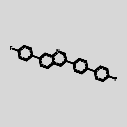 Fc1ccc(-c2ccc(-c3cnc4cc(-c5ccc(F)cc5)ccc4c3)cc2)cc1